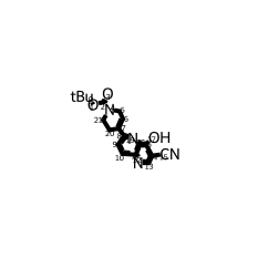 CC(C)(C)OC(=O)N1CC=C(c2ccc3ncc(C#N)c(O)c3n2)CC1